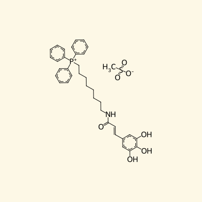 CS(=O)(=O)[O-].O=C(C=Cc1cc(O)c(O)c(O)c1)NCCCCCCCC[P+](c1ccccc1)(c1ccccc1)c1ccccc1